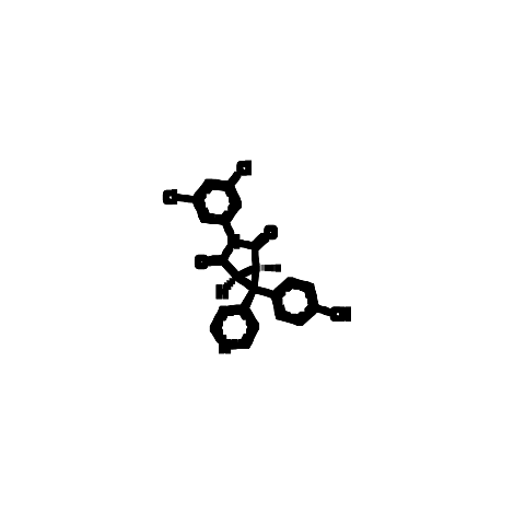 C[C@@]12C(=O)N(c3cc(Cl)cc(Cl)c3)C(=O)[C@@H]1[C@@]2(c1ccncc1)c1ccc(C#N)cc1